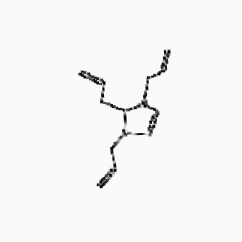 C=CCC1N(CC=C)C=CN1CC=C